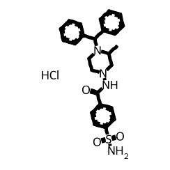 CC1CN(NC(=O)c2ccc(S(N)(=O)=O)cc2)CCN1C(c1ccccc1)c1ccccc1.Cl